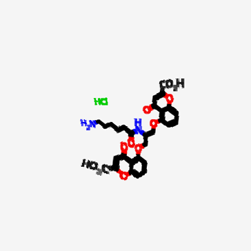 Cl.NCCCCCC(=O)NC(COc1cccc2oc(C(=O)O)cc(=O)c12)COc1cccc2oc(C(=O)O)cc(=O)c12